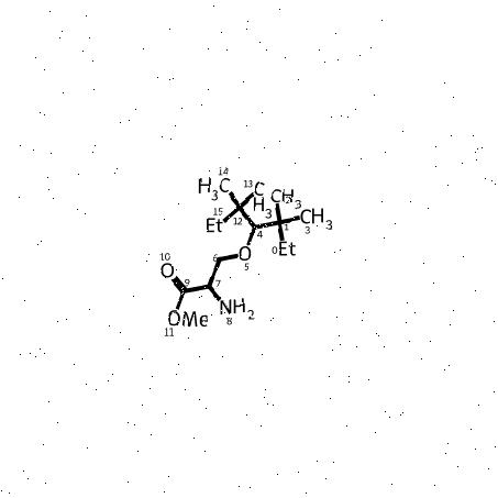 CCC(C)(C)C(OCC(N)C(=O)OC)C(C)(C)CC